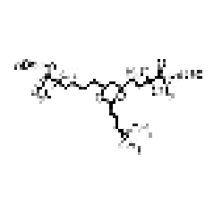 CCCCCCCCCCOC(=O)C(C)(C)CCCCC(CCCCC(C)(C)C(=O)OCCCCCCCCCC)OC(=O)CCCN(C)C